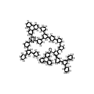 O=C(c1cc(-c2cccc(-c3cccc(-c4ccc(-c5cc(-c6ccccc6)cc(-c6cccc(-c7nc(-c8cccc(-c9cc(-c%10ccccc%10)cc(-c%10ccccc%10)c9)c8)nc(-c8ccc9c%10ccccc%10c%10ccccc%10c9c8)n7)c6)c5)cc4)c3)c2)cc(-c2cccc(-c3cc(-c4ccccc4)cc(-c4ccccc4)c3)c2)c1)c1ccc2c3ccccc3c3ccccc3c2c1